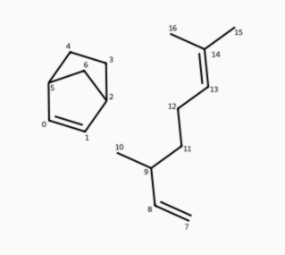 C1=CC2CCC1C2.C=CC(C)CCC=C(C)C